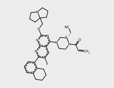 C=CC(=O)N1CCN(c2nc(OCC34CCCN3CCC4)nc3nc(-c4cccc5c4CCCC5)c(F)cc23)C[C@@H]1CC#N